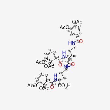 CC(=O)Oc1ccc(C(=O)NCCC[C@H](NC(=O)c2cccc(OC(C)=O)c2OC(C)=O)C(=O)NCCC[C@H](NC(=O)c2cccc(OC(C)=O)c2OC(C)=O)C(=O)O)cc1OC(C)=O